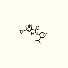 CC(C)C1CN(C)CC1NC(=O)c1cc(C2CC2)on1